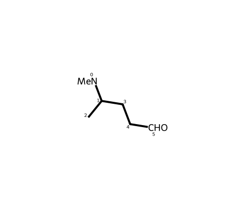 CNC(C)CCC=O